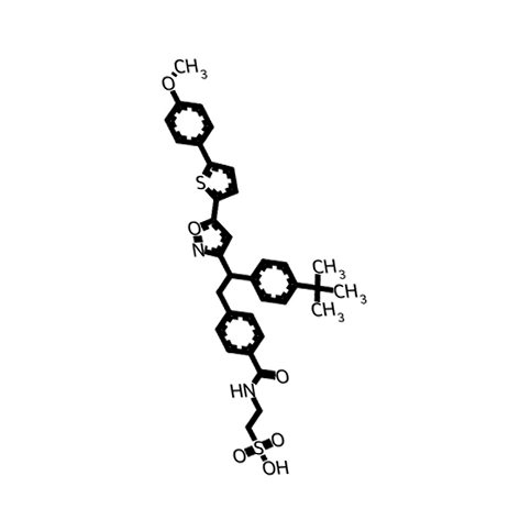 COc1ccc(-c2ccc(-c3cc(C(Cc4ccc(C(=O)NCCS(=O)(=O)O)cc4)c4ccc(C(C)(C)C)cc4)no3)s2)cc1